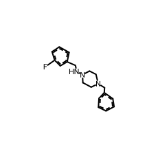 Fc1cccc(CNN2CCN(Cc3ccccc3)CC2)c1